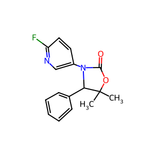 CC1(C)OC(=O)N(c2ccc(F)nc2)C1c1ccccc1